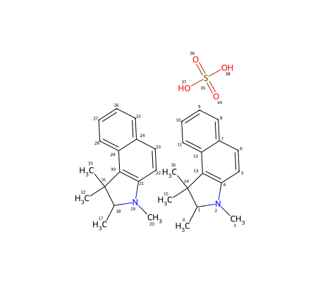 CC1N(C)c2ccc3ccccc3c2C1(C)C.CC1N(C)c2ccc3ccccc3c2C1(C)C.O=S(=O)(O)O